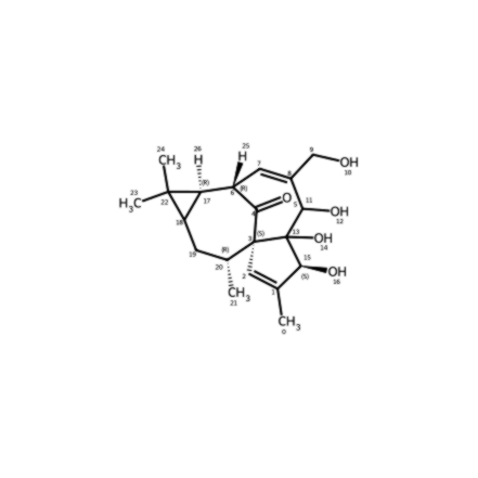 CC1=C[C@]23C(=O)[C@@H](C=C(CO)C(O)C2(O)[C@H]1O)[C@H]1C(C[C@H]3C)C1(C)C